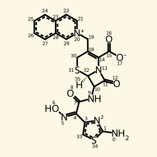 Nc1nc(/C(=N/O)C(=O)NC2C(=O)N3C(C(=O)[O-])=C(C[n+]4ccc5ccccc5c4)CS[C@H]23)cs1